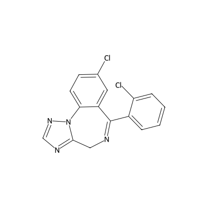 Clc1ccc2c(c1)C(c1ccccc1Cl)=NCc1ncnn1-2